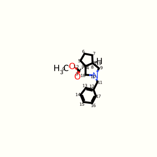 COC(=O)[C@]12CCC[C@H]1CN(Cc1ccccc1)C2